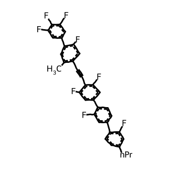 CCCc1ccc(-c2ccc(-c3cc(F)c(C#Cc4cc(F)c(-c5cc(F)c(F)c(F)c5)cc4C)c(F)c3)c(F)c2)c(F)c1